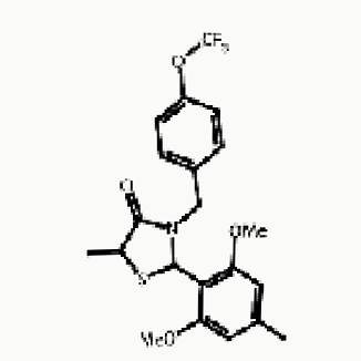 COc1cc(C)cc(OC)c1C1SC(C)C(=O)N1Cc1ccc(OC(F)(F)F)cc1